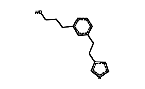 OCCCc1cccc(CCc2ccsc2)c1